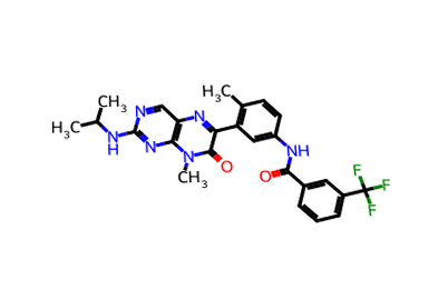 Cc1ccc(NC(=O)c2cccc(C(F)(F)F)c2)cc1-c1nc2cnc(NC(C)C)nc2n(C)c1=O